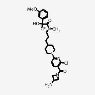 COc1cccc(C(O)(C(=O)N(C)CCCC2CCN(c3ccc(C(=O)N4CC(N)C4)c(Cl)n3)CC2)C(F)(F)F)c1